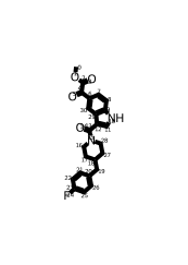 COC(=O)C(=O)c1ccc2[nH]cc(C(=O)N3CCC(Cc4ccc(F)cc4)CC3)c2c1